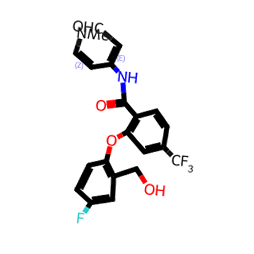 CN/C=C\C(=C/C=O)NC(=O)c1ccc(C(F)(F)F)cc1Oc1ccc(F)cc1CO